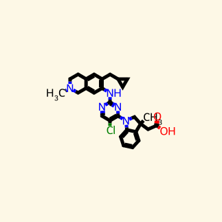 CN1CCc2cc(CC3CC3)c(Nc3ncc(Cl)c(N4CC(C)(CC(=O)O)c5ccccc54)n3)cc2C1